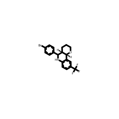 FC(F)(F)c1ccc2c(c1)[C@H]1OCCC[C@H]1C(c1ccc(Br)cc1)N2